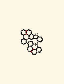 c1ccc(-c2ccccc2-c2cc3c(oc4cccc(N(c5cccc6ccccc56)c5cccc6ccccc56)c43)c3ccccc23)cc1